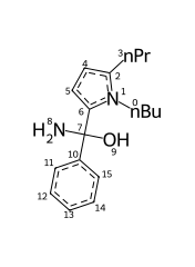 CCCCn1c(CCC)ccc1C(N)(O)c1ccccc1